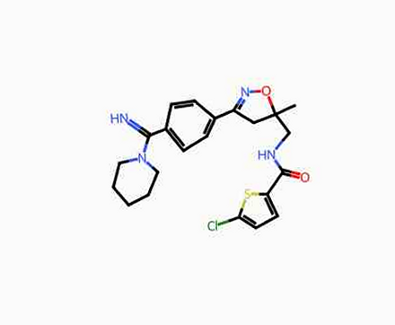 CC1(CNC(=O)c2ccc(Cl)s2)CC(c2ccc(C(=N)N3CCCCC3)cc2)=NO1